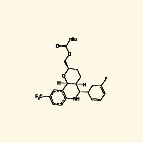 CCCCC(=O)OC[C@H]1CC[C@@H]2[C@H](O1)c1cc(C(F)(F)F)ccc1N[C@H]2C1C=CC=C(F)C1